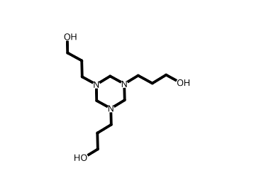 OCCCN1CN(CCCO)CN(CCCO)C1